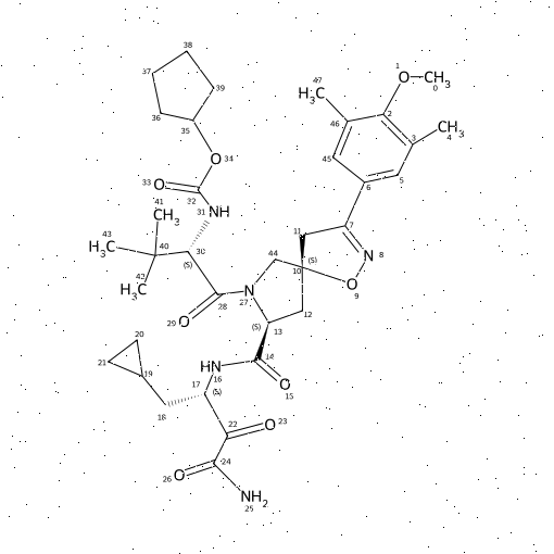 COc1c(C)cc(C2=NO[C@]3(C2)C[C@@H](C(=O)N[C@@H](CC2CC2)C(=O)C(N)=O)N(C(=O)[C@@H](NC(=O)OC2CCCC2)C(C)(C)C)C3)cc1C